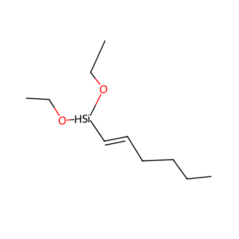 CCCCC=C[SiH](OCC)OCC